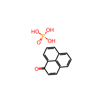 O=C1C=Cc2cccc3cccc1c23.O=P(O)(O)O